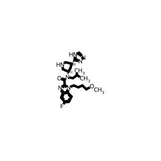 COCCCCn1c(C(=O)N(CC(C)C)[C@@H]2CNC[C@H](c3nnc[nH]3)C2)nc2cc(F)ccc21